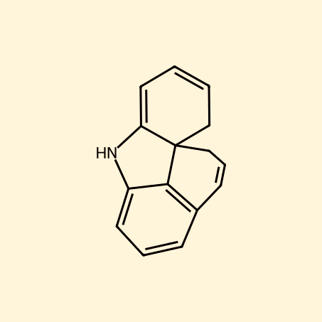 C1=CCC23CC=Cc4cccc(c42)NC3=C1